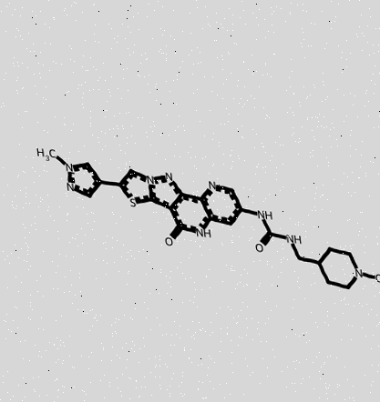 CN1CCC(CNC(=O)Nc2cnc3c(c2)[nH]c(=O)c2c3nn3cc(-c4cnn(C)c4)sc23)CC1